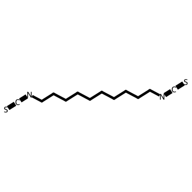 S=C=NCCCCCCCCCCN=C=S